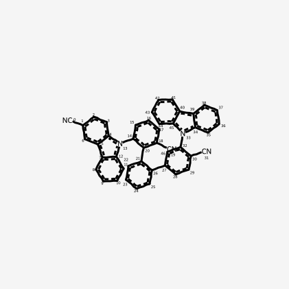 N#Cc1ccc2c(c1)c1ccccc1n2-c1cccc(C#N)c1-c1ccccc1-c1ccc(C#N)c(-n2c3ccccc3c3ccccc32)c1